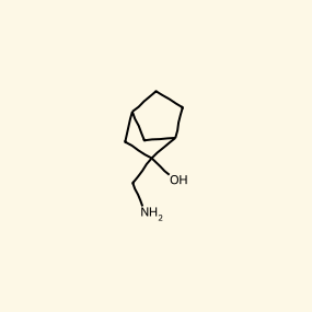 NCC1(O)CC2CCC1C2